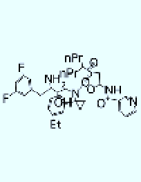 CCCC(CCC)S(=O)(=O)C[C@@H](NC(=O)c1cccnc1)OCN(C[C@@H](O)[C@@H](N)Cc1cc(F)cc(F)c1)C1(c2cccc(CC)c2)CC1